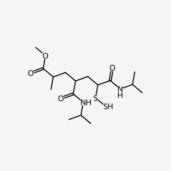 COC(=O)C(C)CC(CC(SS)C(=O)NC(C)C)C(=O)NC(C)C